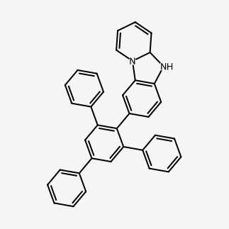 C1=CC2Nc3ccc(-c4c(-c5ccccc5)cc(-c5ccccc5)cc4-c4ccccc4)cc3N2C=C1